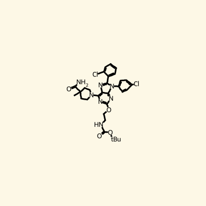 CC(C)(C)OC(=O)NCCOc1nc(N2CCC(C)(C(N)=O)CC2)c2nc(-c3ccccc3Cl)n(-c3ccc(Cl)cc3)c2n1